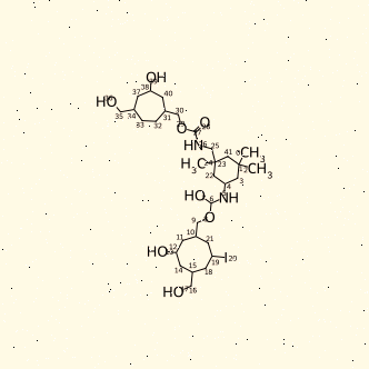 CC1(C)CC(NC(O)OCC2CC(O)CC(CO)CC(I)C2)CC(C)(CNC(=O)OCC2CCC(CO)CC(O)C2)C1